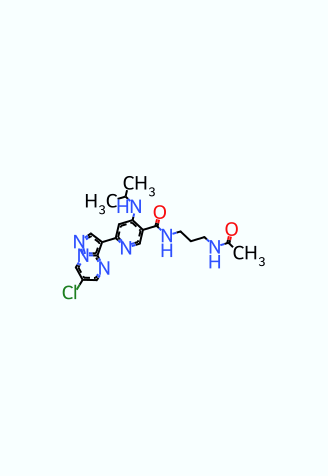 CC(=O)NCCCNC(=O)c1cnc(-c2cnn3cc(Cl)cnc23)cc1NC(C)C